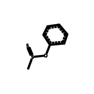 CS(=S)Oc1ccccc1